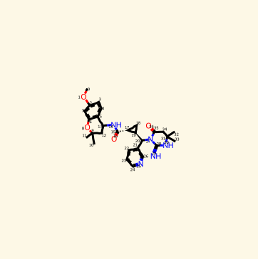 COc1ccc2c(c1)OC(C)(C)CC2NC(=O)[C@@H]1C[C@H]1C(c1cccnc1)N1C(=N)NC(C)(C)CC1=O